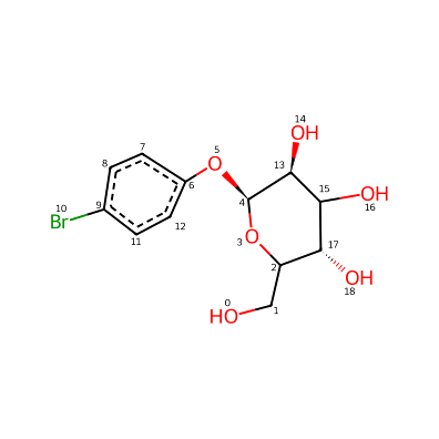 OCC1O[C@@H](Oc2ccc(Br)cc2)[C@@H](O)C(O)[C@@H]1O